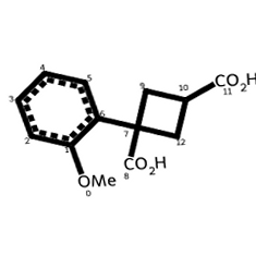 COc1ccccc1C1(C(=O)O)CC(C(=O)O)C1